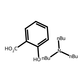 CCCCN(CCCC)CCCC.O=C(O)c1ccccc1O